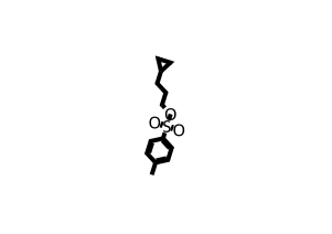 Cc1ccc(S(=O)(=O)OCCCC2CC2)cc1